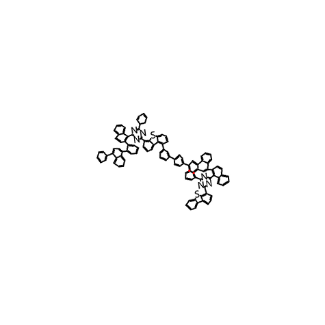 C1=CCC(c2nc(-c3c(-c4ccccc4-c4ccc(-c5ccccc5)c5ccccc45)ccc4ccccc34)nc(-c3cccc4c3sc3cccc(-c5cccc(-c6ccc(-c7ccc8cc(-c9ccc%10ccccc%10c9-c9nc(-c%10ccccc%10)nc(-c%10cccc%11c%10sc%10ccccc%10%11)n9)c9ccccc9c8c7)cc6)c5)c34)n2)C=C1